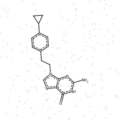 Nc1nc2c(ncn2CCc2ccc(C3CC3)cc2)c(=O)[nH]1